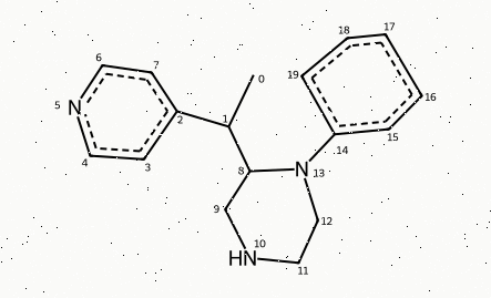 CC(c1ccncc1)C1CNCCN1c1ccccc1